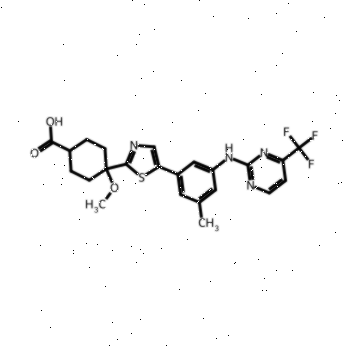 COC1(c2ncc(-c3cc(C)cc(Nc4nccc(C(F)(F)F)n4)c3)s2)CCC(C(=O)O)CC1